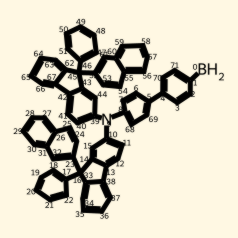 Bc1ccc(-c2ccc(N(c3ccc4c(c3)C(c3ccccc3)(c3ccc5ccccc5c3)c3ccccc3-4)c3ccc4c(c3)C(c3ccccc3)(c3ccc5ccccc5c3)c3ccccc3-4)cc2)cc1